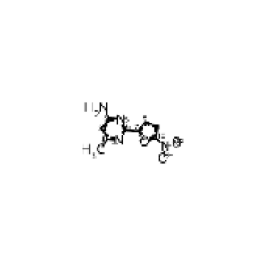 Cc1cc(N)nc(-c2ccc([N+](=O)[O-])o2)n1